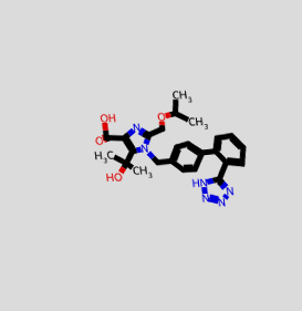 CC(C)OCc1nc(C(=O)O)c(C(C)(C)O)n1Cc1ccc(-c2ccccc2-c2nnn[nH]2)cc1